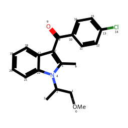 COCC(C)n1c(C)c(C(=O)c2ccc(Cl)cc2)c2ccccc21